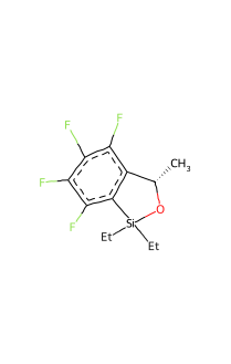 CC[Si]1(CC)O[C@@H](C)c2c(F)c(F)c(F)c(F)c21